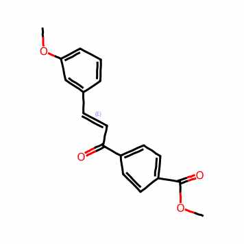 COC(=O)c1ccc(C(=O)/C=C/c2cccc(OC)c2)cc1